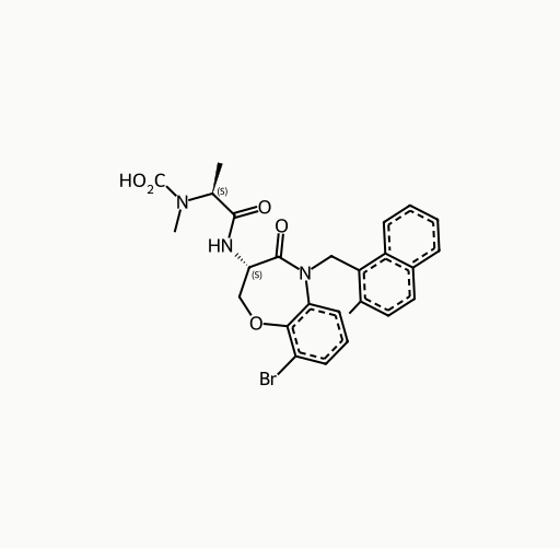 Cc1ccc2ccccc2c1CN1C(=O)[C@@H](NC(=O)[C@H](C)N(C)C(=O)O)COc2c(Br)cccc21